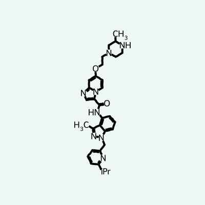 Cc1nn(Cc2cccc(C(C)C)n2)c2cccc(NC(=O)c3cnc4cc(OCCN5CCNC(C)C5)ccn34)c12